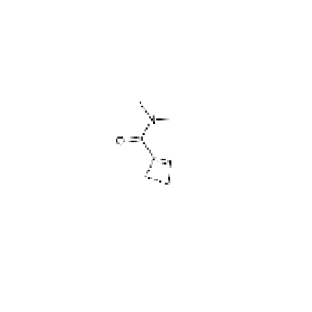 CN(C)C(=O)C1=CCC1